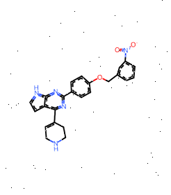 O=[N+]([O-])c1cccc(COc2ccc(-c3nc(C4=CCNCC4)c4cc[nH]c4n3)cc2)c1